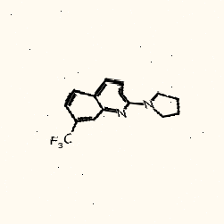 FC(F)(F)c1ccc2ccc(N3CCCC3)nc2c1